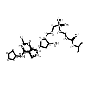 CC(C)OC(=O)OCOP(=O)(O)COC[C@H]1O[C@@H](n2ncc3c(NC4CCCC4)nc(Cl)nc32)C[C@@H]1O